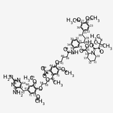 CCC(C)(C)C(=O)C(=O)N1CCCCC1C(=O)OC(CCc1ccc(OC)c(OC)c1)c1cccc(NC(=O)CCCOc2cc([N+](=O)[O-])c(C(C)OCCOc3c(OC)cc(Cc4cnc(N)nc4N)cc3OC)cc2OC)c1